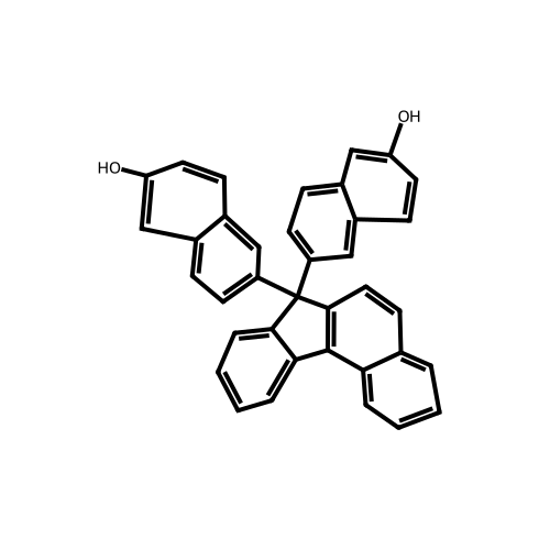 Oc1ccc2cc(C3(c4ccc5cc(O)ccc5c4)c4ccccc4-c4c3ccc3ccccc43)ccc2c1